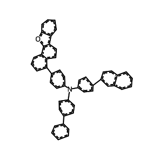 c1ccc(-c2ccc(N(c3ccc(-c4ccc5ccccc5c4)cc3)c3ccc(-c4cccc5c4ccc4c6ccccc6oc54)cc3)cc2)cc1